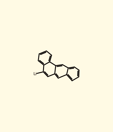 [Li][c]1cc2cc3ccccc3cc2c2ccccc12